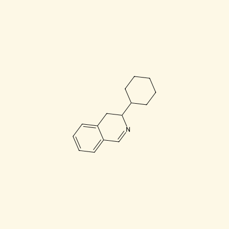 C1=NC(C2CCCCC2)Cc2ccccc21